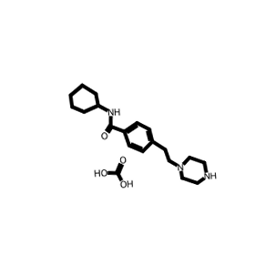 O=C(NC1CCCCC1)c1ccc(CCN2CCNCC2)cc1.O=C(O)O